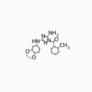 Cc1ccccc1C(=O)n1nc(Nc2ccc3c(c2)OCCO3)nc1N